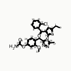 CCc1cc(C(=O)c2ccccc2Cl)c(-n2c(C)nnc2Cc2ccc(OC(N)=O)cc2OC)s1